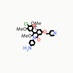 COc1cc(C2=c3c(cc(OCc4ccncc4)cc3=C=O)C(=O)N(c3ccc(N)cc3)C2OC)cc(OC)c1Cl